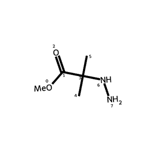 COC(=O)C(C)(C)NN